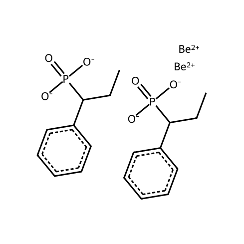 CCC(c1ccccc1)P(=O)([O-])[O-].CCC(c1ccccc1)P(=O)([O-])[O-].[Be+2].[Be+2]